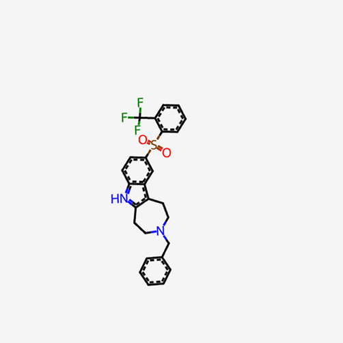 O=S(=O)(c1ccc2[nH]c3c(c2c1)CCN(Cc1ccccc1)CC3)c1ccccc1C(F)(F)F